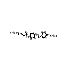 CCCCCCCOCCC(=O)Oc1ccc(/N=N/c2ccc(OCCCCCC)cc2)cc1